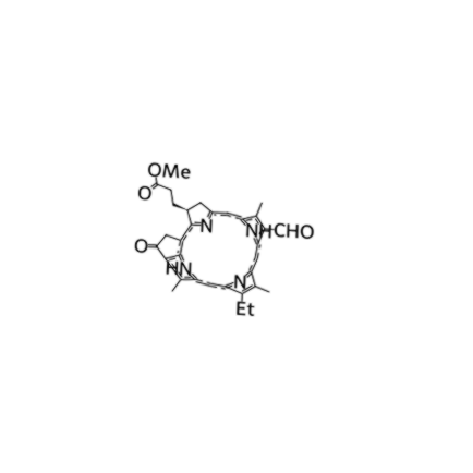 CCC1=C(C)c2cc3[nH]c(cc4nc(c5c6[nH]c(cc1n2)c(C)c6C(=O)C5)[C@@H](CCC(=O)OC)C4)c(C)c3C=O